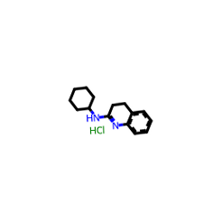 Cl.c1ccc2c(c1)CCC(NC1CCCCC1)=N2